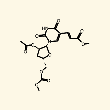 COC(=O)C=Cc1cn([C@@H]2O[C@H](COC(=O)OC)C[C@H]2OC(C)=O)c(=O)[nH]c1=O